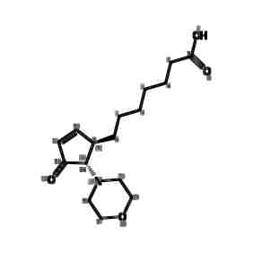 O=C(O)CCCCCC[C@@H]1C=CC(=O)[C@H]1N1CCOCC1